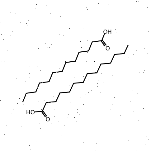 CCCCCCCCCCCCC(=O)O.CCCCCCCCCCCCCC(=O)O